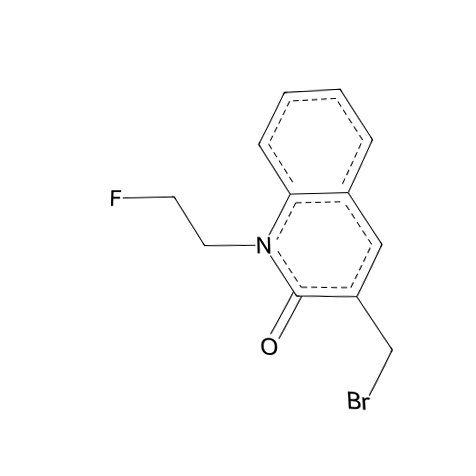 O=c1c(CBr)cc2ccccc2n1CCF